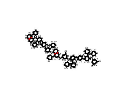 Cc1cc(C)cc(N(c2ccccc2C)c2ccc3c4cc5c(cc4n4c6ccccc6c2c34)c2ccc(N(c3cc(C)cc(Cc4cccc(-c6ccccc6N(c6ccccc6)c6ccc7c8cc9c(cc8n8c%10ccccc%10c6c78)c6ccc(N(c7ccccc7)c7ccccc7-c7ccccc7)c7c8ccccc8n9c67)c4)c3)c3ccccc3C)c3c4ccccc4n5c23)c1